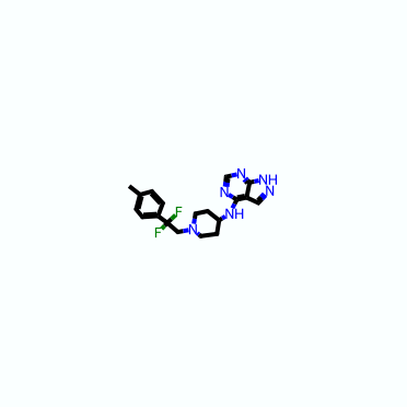 Cc1ccc(C(F)(F)CN2CCC(Nc3ncnc4[nH]ncc34)CC2)cc1